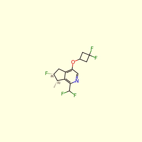 C[C@H]1c2c(C(F)F)ncc(OC3CC(F)(F)C3)c2C[C@H]1F